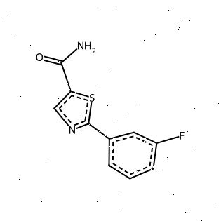 NC(=O)c1cnc(-c2cccc(F)c2)s1